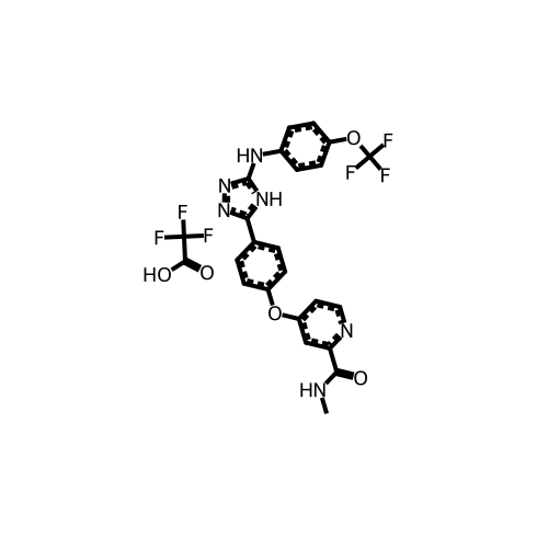 CNC(=O)c1cc(Oc2ccc(-c3nnc(Nc4ccc(OC(F)(F)F)cc4)[nH]3)cc2)ccn1.O=C(O)C(F)(F)F